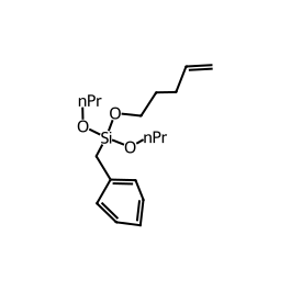 C=CCCCO[Si](Cc1ccccc1)(OCCC)OCCC